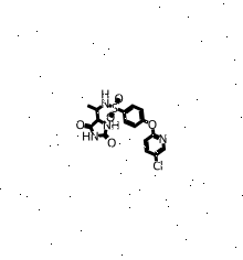 CC(NS(=O)(=O)c1ccc(Oc2ccc(Cl)cn2)cc1)C1NC(=O)NC1=O